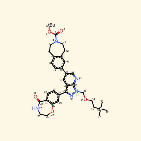 CC(C)(C)OC(=O)N1CCc2ccc(-c3cnc4c(c3)c(-c3ccc5c(c3)OCCNC5=O)nn4COCC[Si](C)(C)C)cc2CC1